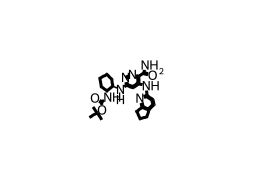 CC(C)(C)OC(=O)N[C@H]1CCCC[C@H]1Nc1cc(Nc2ccc3c(n2)CCC3)c(C(N)=O)nn1